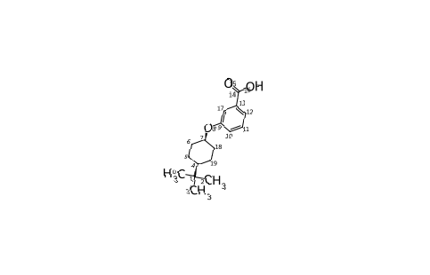 CC(C)(C)[C@H]1CC[C@@H](Oc2cccc(C(=O)O)c2)CC1